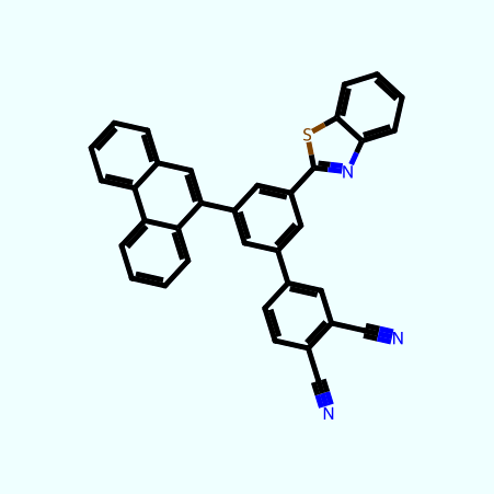 N#Cc1ccc(-c2cc(-c3nc4ccccc4s3)cc(-c3cc4ccccc4c4ccccc34)c2)cc1C#N